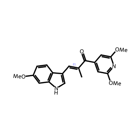 COc1ccc2c(/C=C(\C)C(=O)c3cc(OC)nc(OC)c3)c[nH]c2c1